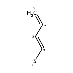 C=CC=C[S]